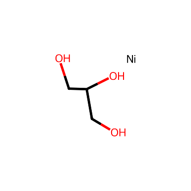 OCC(O)CO.[Ni]